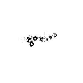 NC(=O)C1(C(=O)N(c2ccc(F)cc2)c2ccc(Oc3ccnc(NC(=O)N4CC(N5CCCC5)C4)c3)cc2F)CC1